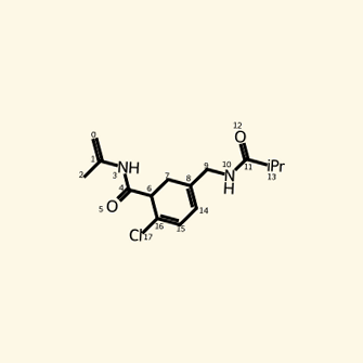 C=C(C)NC(=O)C1CC(CNC(=O)C(C)C)=CC=C1Cl